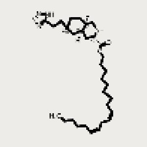 CCCCC/C=C\C/C=C\CCCCCCCCOC(=O)[C@@H]1C[C@H]2C[C@@](F)(CCc3nnn[nH]3)CC[C@H]2CN1